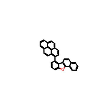 c1ccc2c(c1)ccc1c2oc2cccc(-c3ccc4ccc5cccc6ccc3c4c56)c21